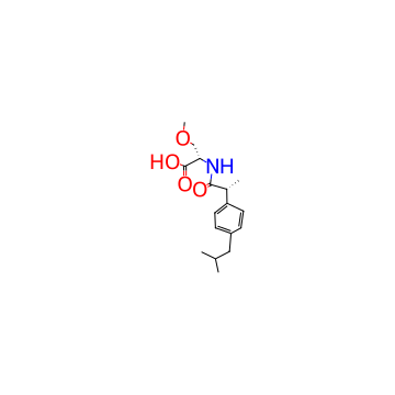 COC[C@H](NC(=O)[C@H](C)c1ccc(CC(C)C)cc1)C(=O)O